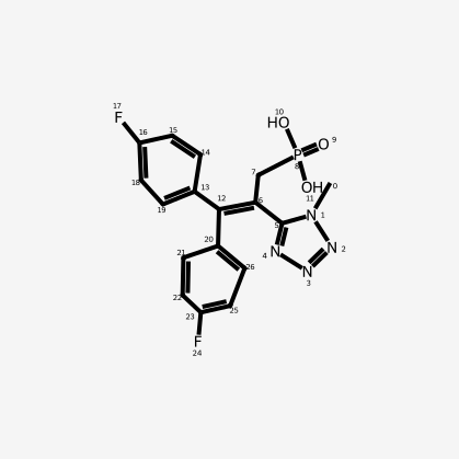 Cn1nnnc1C(CP(=O)(O)O)=C(c1ccc(F)cc1)c1ccc(F)cc1